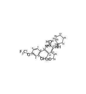 Oc1cc(OC(F)(F)F)ccc1-c1nnc(N[C@@H]2CCCC[C@H]2O)c2c1COCC2